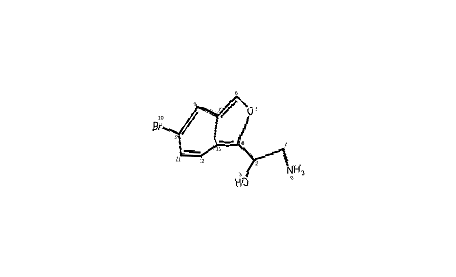 NCC(O)c1occ2cc(Br)ccc12